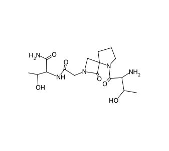 CC(O)C(N)C(=O)N1CCCC12CN(CC(=O)NC(C(N)=O)C(C)O)C2=O